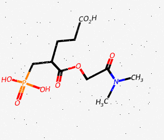 CN(C)C(=O)COC(=O)C(CCC(=O)O)CP(=O)(O)O